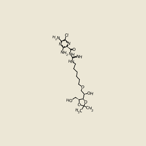 CC1(C)O[C@H]([C@H](O)COCCCCCCNC(=N)NC(=O)c2nc(Cl)c(N)nc2N)[C@H](CO)O1